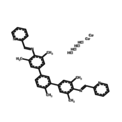 Cc1ccc(-c2cc(C)c(N=Cc3ccccn3)c(C)c2)cc1-c1cc(C)c(N=Cc2ccccn2)c(C)c1.Cl.Cl.Cl.Cl.[Cu].[Cu]